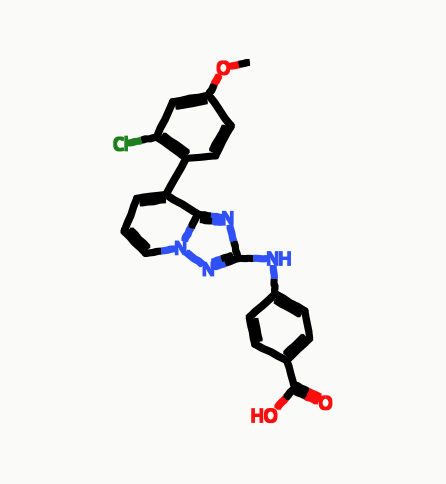 COc1ccc(-c2cccn3nc(Nc4ccc(C(=O)O)cc4)nc23)c(Cl)c1